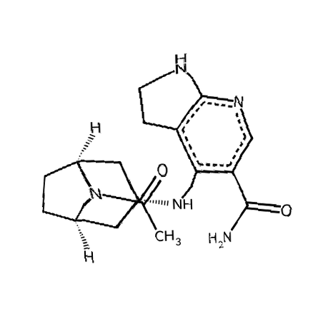 CC(=O)N1[C@@H]2CC[C@H]1C[C@H](Nc1c(C(N)=O)cnc3c1CCN3)C2